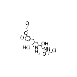 COCCCOc1cc(CC(CC(N)C(O)CNC(=O)C(C)(C)CCl)C(C)C)ccc1OC.Cl